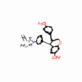 CN(C)c1ccc(C2c3ccc(O)cc3OCC2c2ccc(O)cc2)cc1